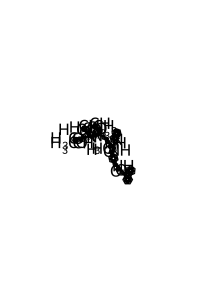 CC(C)(C)OC(=O)CC[C@H](NC(=O)N[C@@H](CCCCNC(=O)[C@H](Cc1ccc2ccccc2n1)NC(=O)C1CCC(CNC(=O)OCC2c3ccccc3-c3ccccc32)CC1)C(=O)OC(C)(C)C)C(=O)OC(C)(C)C